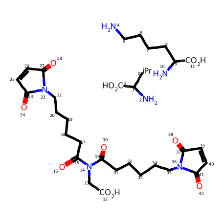 CC(C)C(N)C(=O)O.NCCCCC(N)C(=O)O.O=C(O)CN(C(=O)CCCCCN1C(=O)C=CC1=O)C(=O)CCCCCN1C(=O)C=CC1=O